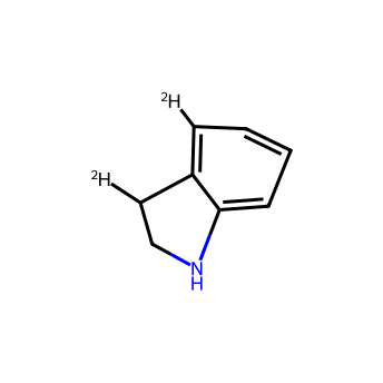 [2H]c1cccc2c1C([2H])CN2